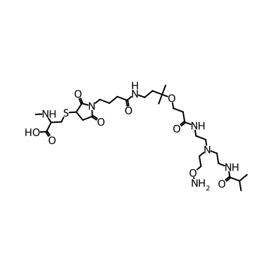 CNC(CSC1CC(=O)N(CCCC(=O)NCCC(C)(C)OCCC(=O)NCCN(CCNC(=O)C(C)C)CCON)C1=O)C(=O)O